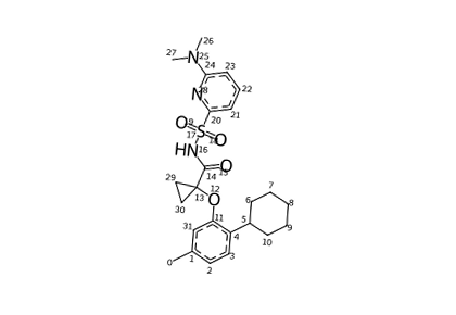 Cc1ccc(C2CCCCC2)c(OC2(C(=O)NS(=O)(=O)c3cccc(N(C)C)n3)CC2)c1